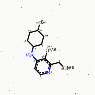 COCc1nccc(NC2CCC(C(C)(C)C)CC2)c1OC